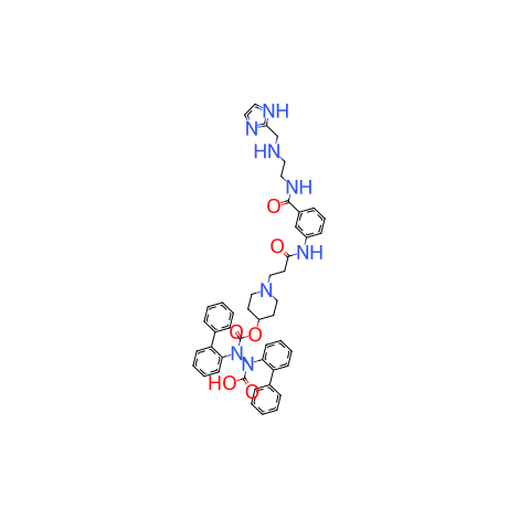 O=C(CCN1CCC(OC(=O)N(c2ccccc2-c2ccccc2)N(C(=O)O)c2ccccc2-c2ccccc2)CC1)Nc1cccc(C(=O)NCCNCc2ncc[nH]2)c1